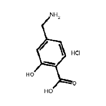 Cl.NCc1ccc(C(=O)O)c(O)c1